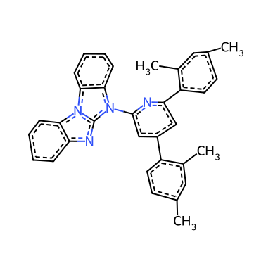 Cc1ccc(-c2cc(-c3ccc(C)cc3C)nc(-n3c4ccccc4n4c5ccccc5nc34)c2)c(C)c1